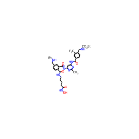 CCOC(=O)NCc1ccc(C(=O)Nc2cc(NC(=O)c3cc(CNC(C)C)ccc3C(=O)NCCCCC(=O)NO)nc(C)n2)cc1C(F)(F)F